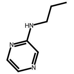 CCCNc1cnccn1